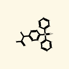 C=C(C)C(C)c1ccc(P(=O)(c2ccccc2)c2ccccc2)cc1